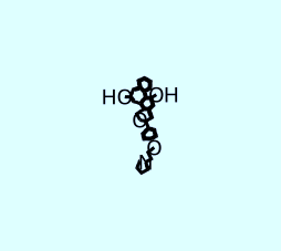 OC1=Cc2c3c(cc(O)c2=c2ccccc2=C1)=CC(c1ccc(OCCN2CCCC2)cc1)OC3